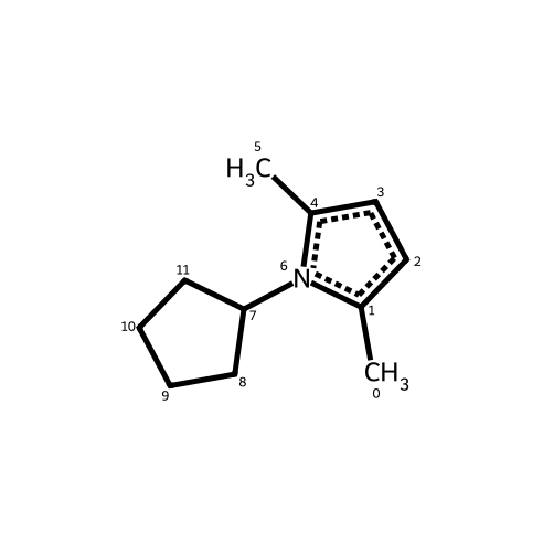 Cc1ccc(C)n1C1CCCC1